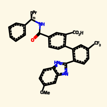 CCC[C@@H](NC(=O)c1ccc(-c2cc(C(F)(F)F)ccc2-c2nc3cc(OC)ccc3[nH]2)c(C(=O)O)c1)c1ccccc1